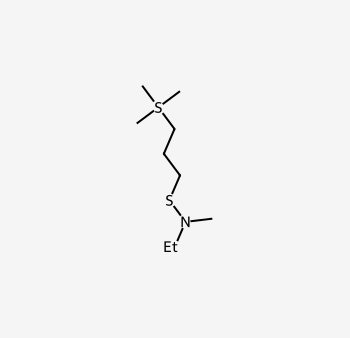 CCN(C)SCCCS(C)(C)C